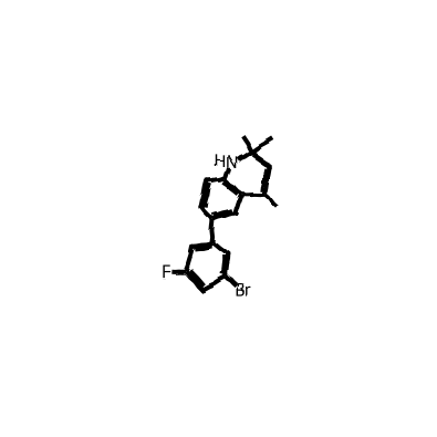 CC1=CC(C)(C)Nc2ccc(-c3cc(F)cc(Br)c3)cc21